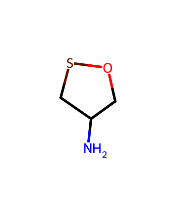 NC1COSC1